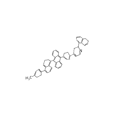 CC1=CC=C(c2cccc3c2=CCCC=3c2c3ccccc3c(C3=CC=C(C4=CC=NC(c5cccc6c5C=CCC6)C4)CC3)c3ccccc23)CC1